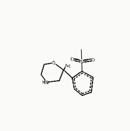 CC(=O)C1(c2ccccc2S(C)(=O)=O)CNCCO1